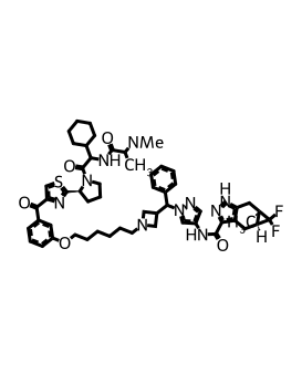 CNC(C)C(=O)NC(C(=O)N1CCC[C@H]1c1nc(C(=O)c2cccc(OCCCCCCN3CC(C(c4ccccc4)n4cc(NC(=O)c5n[nH]c6c5C[C@@H]5C(F)(F)[C@]5(C)C6)cn4)C3)c2)cs1)C1CCCCC1